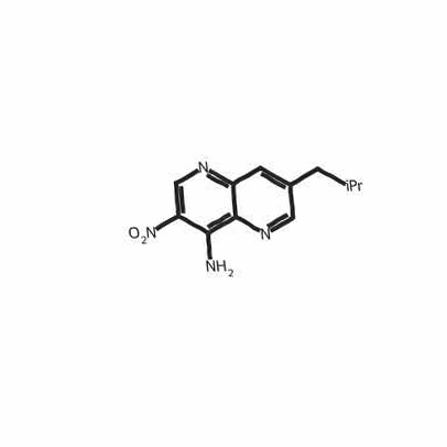 CC(C)Cc1cnc2c(N)c([N+](=O)[O-])cnc2c1